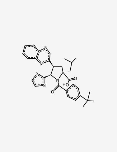 CC(C)C[C@@]1(C(=O)O)C[C@H](c2cnc3ccccc3n2)[C@H](c2nccs2)N1C(=O)c1ccc(C(C)(C)C)cc1